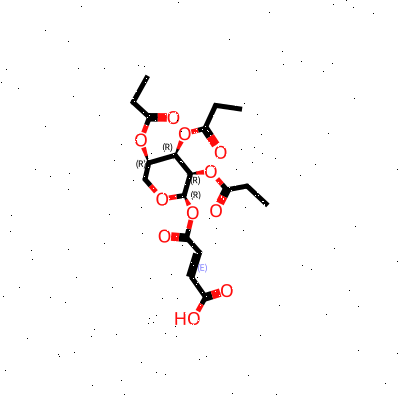 CCC(=O)O[C@H]1[C@@H](OC(=O)/C=C/C(=O)O)OC[C@@H](OC(=O)CC)[C@H]1OC(=O)CC